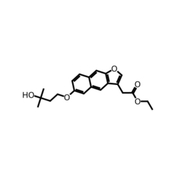 CCOC(=O)Cc1coc2cc3ccc(OCCC(C)(C)O)cc3cc12